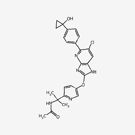 CC(=O)NC(C)(C)c1ccc(Oc2nc3nc(-c4ccc(C5(O)CC5)cc4)c(Cl)cc3[nH]2)cn1